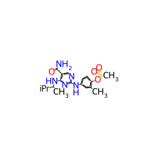 Cc1cc(Nc2ncc(C(N)=O)c(NC(C)C(C)C)n2)ccc1OS(C)(=O)=O